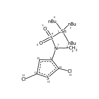 CCC[CH2][Sn]([CH2]CCC)([CH2]CCC)[S](=O)(=O)N(C)c1cc(Cl)sc1Cl